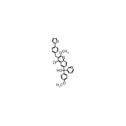 COc1ccc(C(O)(c2cccnc2)c2ccc3nc(OC)c(Cc4ccc(-n5cccn5)cc4)c(Cl)c3c2)cc1